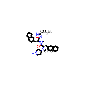 CCOC(=O)c1noc([C@@H](Cc2ccc3ccccc3c2)N(C)C(=O)[C@@H](Cc2ccc3ccccc3c2)N(C=O)C2CCNCC2)n1